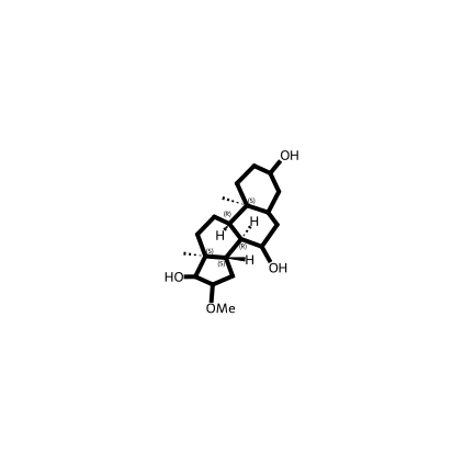 COC1C[C@H]2[C@@H]3C(O)CC4CC(O)CC[C@]4(C)[C@@H]3CC[C@]2(C)C1O